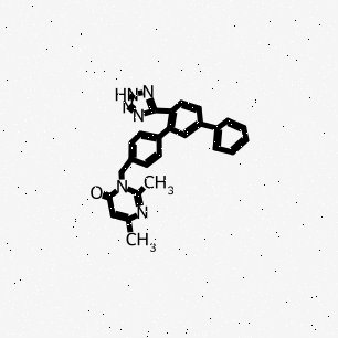 Cc1cc(=O)n(Cc2ccc(-c3cc(-c4ccccc4)ccc3-c3nn[nH]n3)cc2)c(C)n1